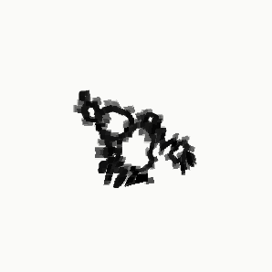 CN1CC/C=C/[C@H](OCCN2CCC(F)(F)CC2)[C@@H]2CC[C@H]2CN2CCCCc3cc(Cl)ccc3COc3ccc(cc32)[C@@](O)(C(=O)O)CC1=O